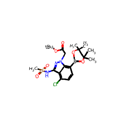 CC(C)(C)OC(=O)Cn1nc(NS(C)(=O)=O)c2c(Cl)ccc(B3OC(C)(C)C(C)(C)O3)c21